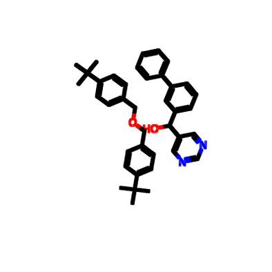 CC(C)(C)c1ccc(COCc2ccc(C(C)(C)C)cc2)cc1.OC(c1cncnc1)c1cccc(-c2ccccc2)c1